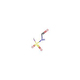 O=CNS(=O)(=O)I